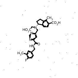 Cc1cc(CNC(=O)c2cc(CN(CC(=O)O)[C@@H]3CCc4c3ccc(C(=O)O)c4C)ncn2)ccc1F